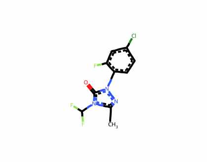 Cc1nn(-c2ccc(Cl)[c]c2F)c(=O)n1C(F)F